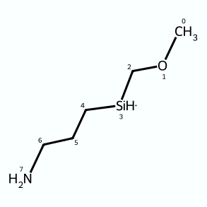 COC[SiH]CCCN